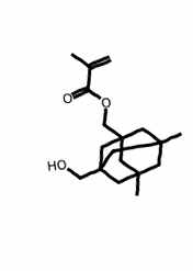 C=C(C)C(=O)OCC12CC3(C)CC(C)(CC(CO)(C3)C1)C2